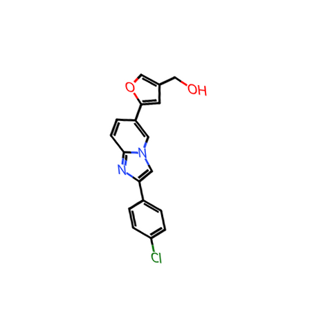 OCc1coc(-c2ccc3nc(-c4ccc(Cl)cc4)cn3c2)c1